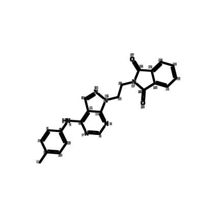 Cc1ccc(Nc2ncnc3c2cnn3CCN2C(=O)c3ccccc3C2=O)cc1